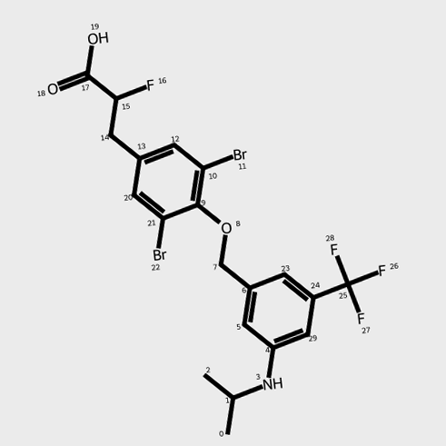 CC(C)Nc1cc(COc2c(Br)cc(CC(F)C(=O)O)cc2Br)cc(C(F)(F)F)c1